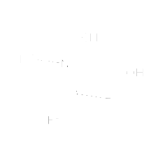 CC[C](CO)N(C)C